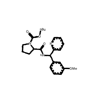 CCCCOC(=O)N1CCCC1C(=O)NC(c1cccc(OC)c1)c1ccccn1